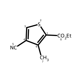 CCOC(=O)c1scc(C#N)c1C